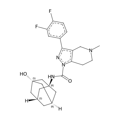 CN1CCc2c(c(-c3ccc(F)c(F)c3)nn2C(=O)N[C@@]23C[C@@H]4C[C@@H](C[C@@](O)(C4)C2)C3)C1